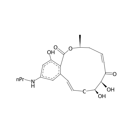 CCCNc1cc(O)c2c(c1)/C=C/C[C@H](O)[C@H](O)C(=O)/C=C\C[C@H](C)OC2=O